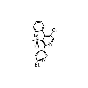 CCc1ccc(-c2ncc(Cl)c(-c3ccccc3)c2S(C)(=O)=O)cn1